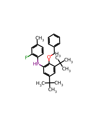 Cc1ccc(Pc2cc(C(C)(C)C)cc(C(C)(C)C)c2OCc2ccccc2)c(F)c1